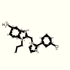 CCCn1c(Cn2ccnc2-c2cccc(Cl)c2)nc2cc(N)ccc21